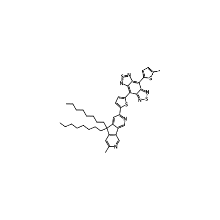 CCCCCCCCC1(CCCCCCCC)c2cc(C)ncc2-c2cnc(-c3ccc(-c4c5c(c(-c6ccc(C)s6)c6nsnc46)N=S=N5)s3)cc21